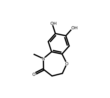 CN1C(=O)CCOc2cc(O)c(O)cc21